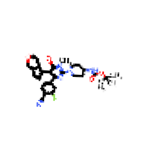 Cn1c(N2CCC(NC(=O)OC(C)(C)C)CC2)nc(-c2ccc(C#N)c(F)c2)c(-c2ccc3coccc2-3)c1=O